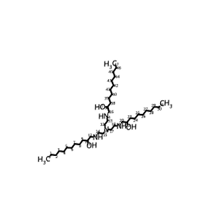 CCCCCCCCCCC(O)CNCCN(CCNCC(O)CCCCCCCCC)CCNCC(O)CCCCCCCCCC